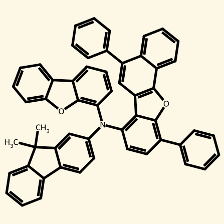 CC1(C)c2ccccc2-c2ccc(N(c3cccc4c3oc3ccccc34)c3ccc(-c4ccccc4)c4oc5c6ccccc6c(-c6ccccc6)cc5c34)cc21